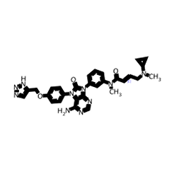 CN(C(=O)/C=C/CN(C)C1CC1)c1cccc(-n2c(=O)n(-c3ccc(OCc4cnn[nH]4)cc3)c3c(N)ncnc32)c1